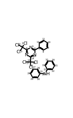 ClC(Cl)(Cl)c1nc(-c2ccccc2)nc(C(Cl)(Cl)Cl)n1.c1ccc(Nc2ccccc2)cc1